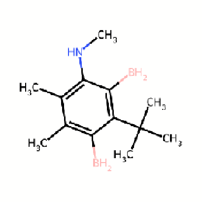 Bc1c(C)c(C)c(NC)c(B)c1C(C)(C)C